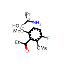 CC(C)[C@H](N)C(=O)O.CCC(=O)c1c(OC)ccc(F)c1OC